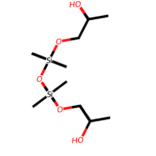 CC(O)CO[Si](C)(C)O[Si](C)(C)OCC(C)O